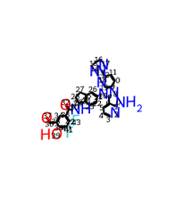 Nc1ncccc1-c1nc2ccc(-n3nccn3)nc2n1-c1ccc2c(c1)CC[C@@H]2NC(=O)c1cc(C=O)c(O)c(F)c1F